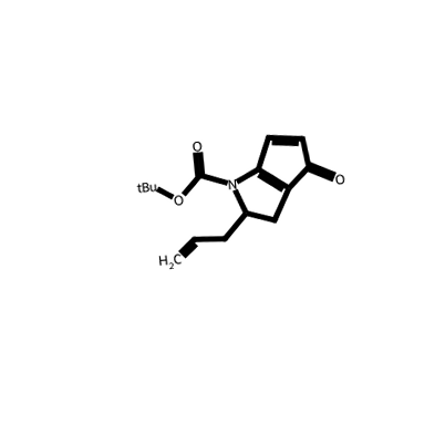 C=CCC1CC2=C(C=CC2=O)N1C(=O)OC(C)(C)C